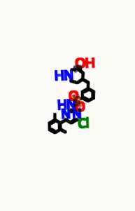 Cc1cccc(C)c1-c1cc(Cl)nc(NS(=O)(=O)c2cccc(CC3CCNC[C@@H](O)C3)c2)n1